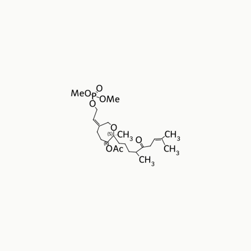 COP(=O)(OC)OCC=C1CC[C@@H](OC(C)=O)[C@](C)(CCCC(C)C(=O)CC=C(C)C)OC1